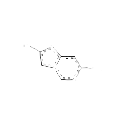 CC(C)c1cn2cnc(C(F)(F)F)cc2n1